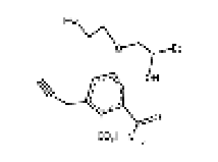 C#CCc1cccc(C(N)=O)c1C(=O)O.CCC(O)COCCO